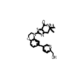 CC1(C)Cc2nc(N3CCOc4ccc(-c5ccc(CO)nc5)cc43)sc2C(=O)N1